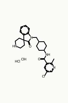 Cc1ncc(Cl)cc1C(=O)NC1CCC(CN2C(=O)C3(CCNCC3)c3ccccc32)CC1.Cl.Cl